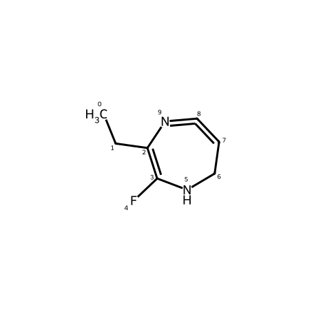 CCC1=C(F)NCC=C=N1